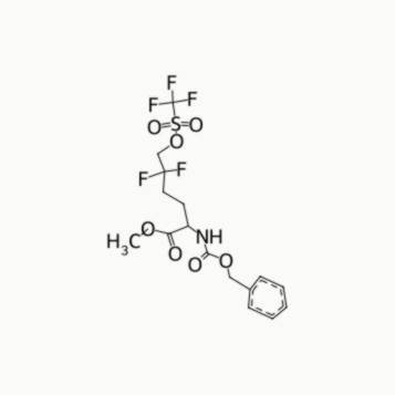 COC(=O)C(CCC(F)(F)COS(=O)(=O)C(F)(F)F)NC(=O)OCc1ccccc1